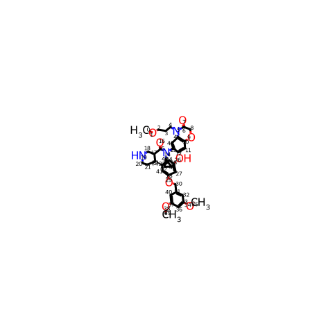 COCCCN1C(=O)COc2ccc(N(C(=O)C3CNCC[C@@H]3c3cc(O)cc(OCc4cc(OC)cc(OC)c4)c3)C3CC3)cc21